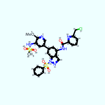 COc1ncc(-c2cc(NC(=O)c3cccc(CCl)n3)c3cnn(S(=O)(=O)c4ccccc4)c3c2)cc1NS(C)(=O)=O